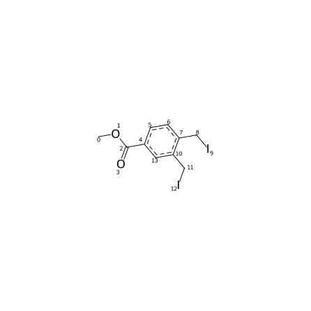 COC(=O)c1ccc(CI)c(CI)c1